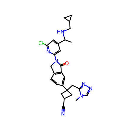 CC(NCC1CC1)c1cc(Cl)nc(N2Cc3ccc(C4(Cc5nncn5C)CC(C#N)C4)cc3C2=O)c1